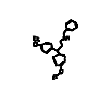 CCOc1ccc(C(CCNCc2ccccc2)c2ccc(OCC)cc2)cc1